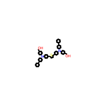 OCc1ccc(N(c2ccc(-c3ccccc3)cc2)c2ccc(-c3ccc(-c4ccc(N(c5ccc(CO)cc5)c5ccc(-c6ccccc6)cc5)cc4)s3)cc2)cc1